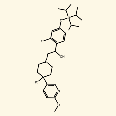 COc1ccc(C2(O)CCN(CC(O)c3ccc(O[Si](C(C)C)(C(C)C)C(C)C)cc3Cl)CC2)cn1